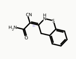 N#C/C(C(N)=O)=C1/Cc2ccccc2SN1